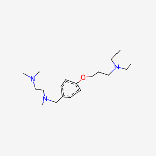 CCN(CC)CCCOc1ccc(CN(C)CCN(C)C)cc1